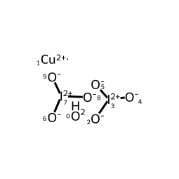 O.[Cu+2].[O-][I+2]([O-])[O-].[O-][I+2]([O-])[O-]